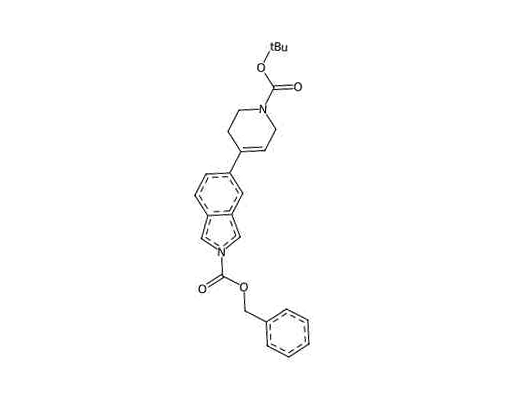 CC(C)(C)OC(=O)N1CC=C(c2ccc3cn(C(=O)OCc4ccccc4)cc3c2)CC1